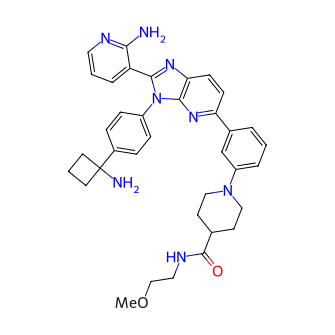 COCCNC(=O)C1CCN(c2cccc(-c3ccc4nc(-c5cccnc5N)n(-c5ccc(C6(N)CCC6)cc5)c4n3)c2)CC1